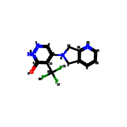 O=c1[nH]ncc(N2Cc3cccnc3C2)c1C(F)(F)F